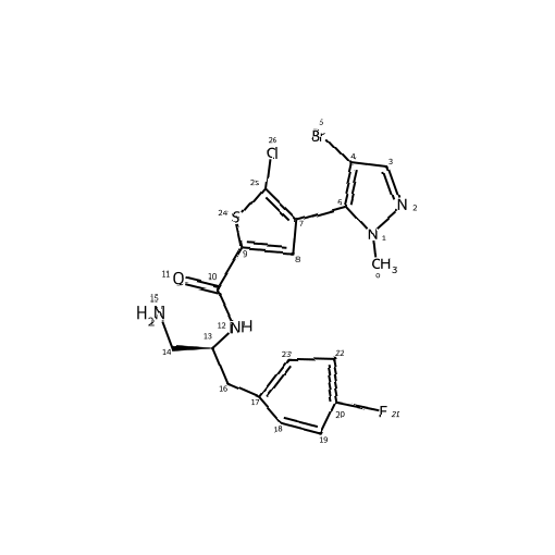 Cn1ncc(Br)c1-c1cc(C(=O)N[C@H](CN)Cc2ccc(F)cc2)sc1Cl